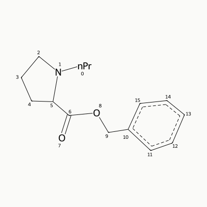 CCCN1CCCC1C(=O)OCc1ccccc1